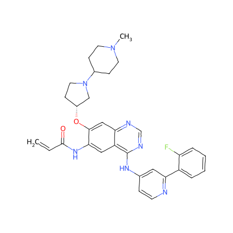 C=CC(=O)Nc1cc2c(Nc3ccnc(-c4ccccc4F)c3)ncnc2cc1O[C@@H]1CCN(C2CCN(C)CC2)C1